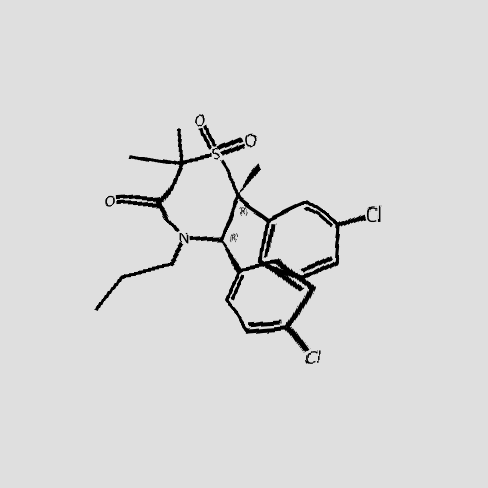 CCCN1C(=O)C(C)(C)S(=O)(=O)[C@](C)(c2cccc(Cl)c2)[C@H]1c1ccc(Cl)cc1